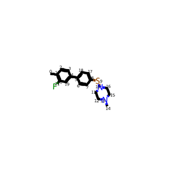 Cc1ccc(-c2ccc(SN3CCN(C)CC3)cc2)cc1F